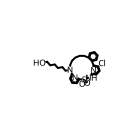 O=S1(=O)Nc2ccc(Cl)c(n2)-c2ccccc2CCCCCN(CCCCCCO)c2cccc1n2